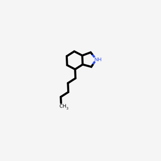 CCCCCC1CCCC2CNCC12